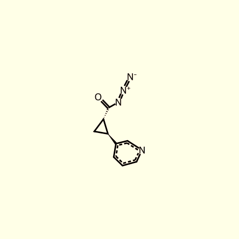 [N-]=[N+]=NC(=O)[C@H]1C[C@@H]1c1cccnc1